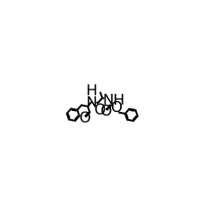 CC(NC(=O)OCc1ccccc1)C(=O)NC(C=O)Cc1ccccc1